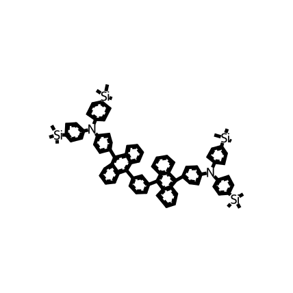 C[Si](C)(C)c1ccc(N(c2ccc(-c3c4ccccc4c(-c4cccc(-c5c6ccccc6c(-c6ccc(N(c7ccc([Si](C)(C)C)cc7)c7ccc([Si](C)(C)C)cc7)cc6)c6ccccc56)c4)c4ccccc34)cc2)c2ccc([Si](C)(C)C)cc2)cc1